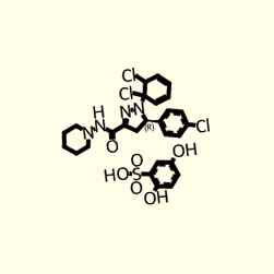 O=C(NN1CCCCC1)C1=NN(C2(Cl)C=CC=CC2Cl)[C@@H](c2ccc(Cl)cc2)C1.O=S(=O)(O)c1cc(O)ccc1O